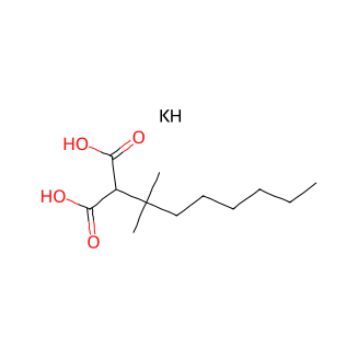 CCCCCCC(C)(C)C(C(=O)O)C(=O)O.[KH]